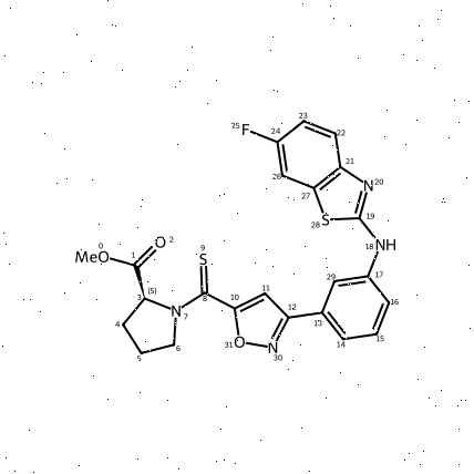 COC(=O)[C@@H]1CCCN1C(=S)c1cc(-c2cccc(Nc3nc4ccc(F)cc4s3)c2)no1